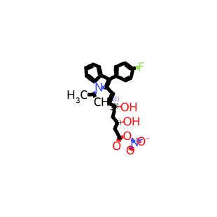 CC(C)n1c(/C=C/[C@H](O)C[C@H](O)CC(=O)O[N+](=O)[O-])c(-c2ccc(F)cc2)c2ccccc21